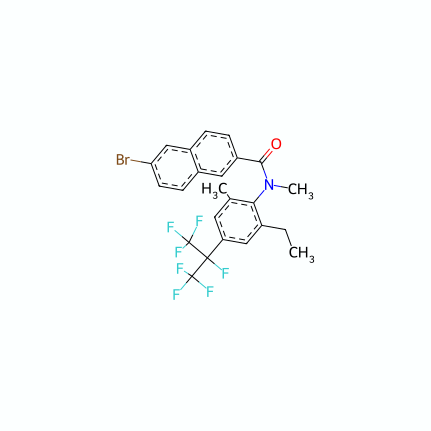 CCc1cc(C(F)(C(F)(F)F)C(F)(F)F)cc(C)c1N(C)C(=O)c1ccc2cc(Br)ccc2c1